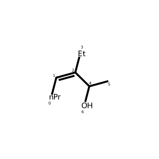 CCCC=C(CC)C(C)O